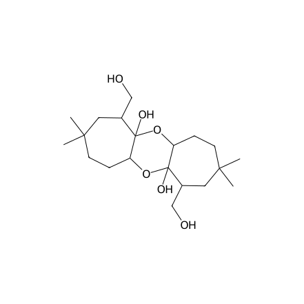 CC1(C)CCC2OC3(O)C(CO)CC(C)(C)CCC3OC2(O)C(CO)C1